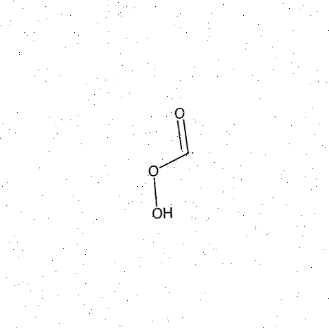 O=[C]OO